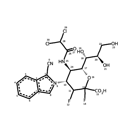 N#Cc1c2ccccc2cn1[C@H]1C(F)C(F)(C(=O)O)O[C@@H]([C@H](O)[C@H](O)CO)[C@@H]1NC(=O)C(Cl)Cl